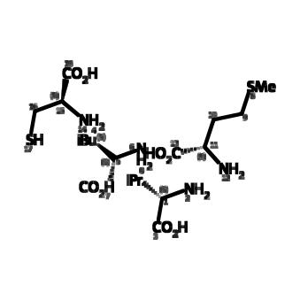 CC(C)[C@H](N)C(=O)O.CC[C@H](C)[C@H](N)C(=O)O.CSCC[C@H](N)C(=O)O.N[C@@H](CS)C(=O)O